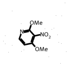 COc1ccnc(OC)c1[N+](=O)[O-]